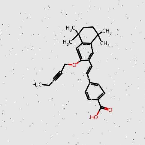 CCC#CCOc1cc2c(cc1C=Cc1ccc(C(=O)O)cc1)C(C)(C)CCC2(C)C